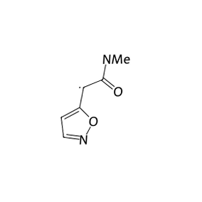 CNC(=O)[CH]c1ccno1